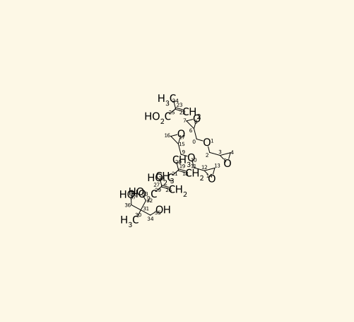 C(OCC1CO1)C1CO1.C(OCC1CO1)C1CO1.C=C(C)C(=O)O.C=C(C)C(=O)O.C=C(C)C(=O)O.CC(CO)(CO)CO